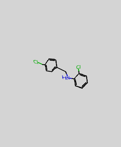 Clc1ccc(CNc2ccccc2Cl)cc1